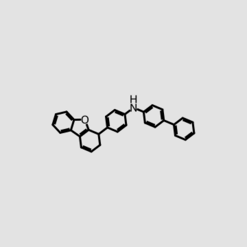 C1=Cc2c(oc3ccccc23)C(c2ccc(Nc3ccc(-c4ccccc4)cc3)cc2)C1